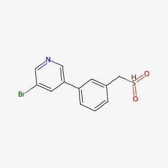 O=[SH](=O)Cc1cccc(-c2cncc(Br)c2)c1